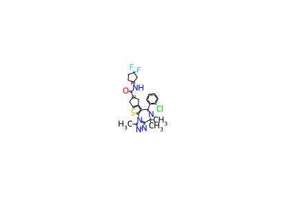 Cc1nnc2n1-c1sc3c(c1C(c1ccccc1Cl)=NC2(C)C)C[C@H](C(=O)N[C@@H]1CCC(F)(F)C1)C3